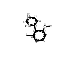 COc1cccc(C)c1-c1ccncn1